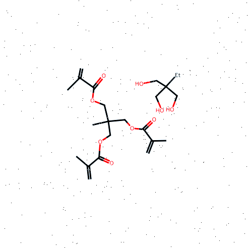 C=C(C)C(=O)OCC(C)(COC(=O)C(=C)C)COC(=O)C(=C)C.CCC(CO)(CO)CO